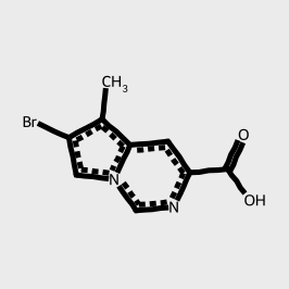 Cc1c(Br)cn2cnc(C(=O)O)cc12